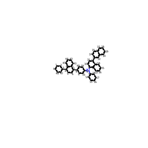 c1ccc(-c2ccc(-c3ccc(N(c4ccccc4)c4ccc(-c5ccc6ccccc6c5)c5ccccc45)cc3)c3ccccc23)cc1